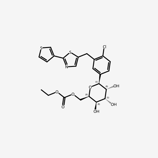 CCOC(=O)OC[C@H]1O[C@@H](c2ccc(Cl)c(Cc3cnc(-c4ccsc4)s3)c2)[C@H](O)[C@H](O)[C@H]1O